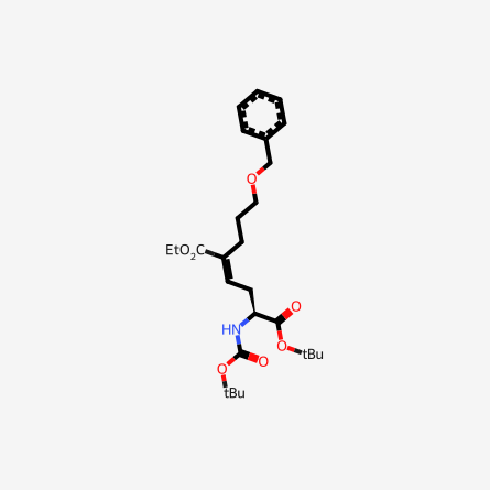 CCOC(=O)/C(=C/C[C@H](NC(=O)OC(C)(C)C)C(=O)OC(C)(C)C)CCCOCc1ccccc1